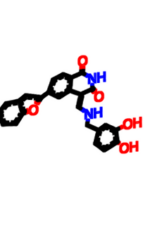 O=C1NC(=O)c2ccc(-c3cc4ccccc4o3)cc2C1=CNCc1ccc(O)c(O)c1